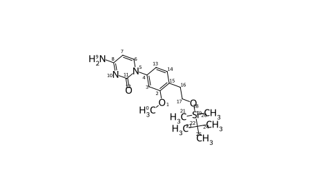 COc1cc(-n2ccc(N)nc2=O)ccc1CCO[Si](C)(C)C(C)(C)C